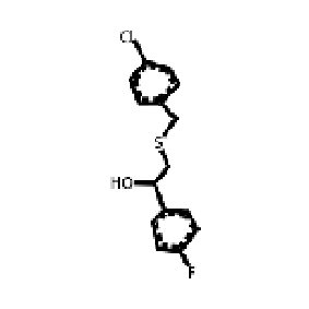 OC(CSCc1ccc(Cl)cc1)c1ccc(F)cc1